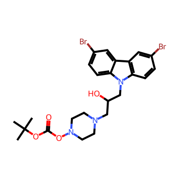 CC(C)(C)OC(=O)ON1CCN(CC(O)Cn2c3ccc(Br)cc3c3cc(Br)ccc32)CC1